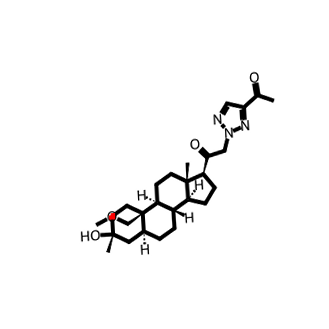 COC[C@]12CC[C@@](C)(O)C[C@@H]1CC[C@H]1[C@@H]3CC[C@H](C(=O)Cn4ncc(C(C)=O)n4)[C@@]3(C)CC[C@@H]12